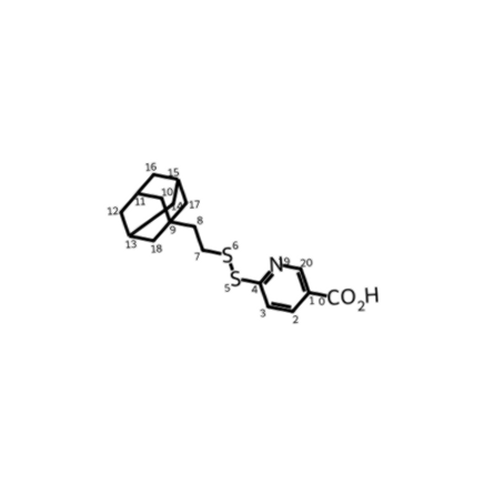 O=C(O)c1ccc(SSCCC23CC4CC(CC(C4)C2)C3)nc1